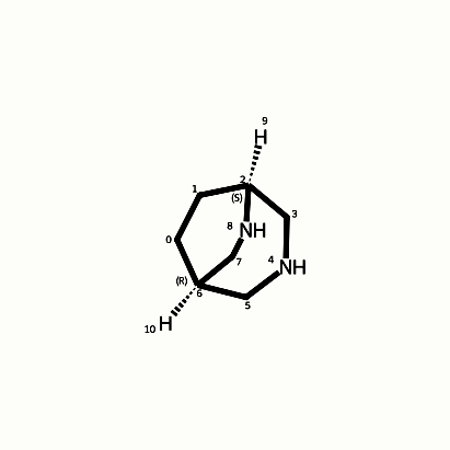 C1C[C@H]2CNC[C@@H]1CN2